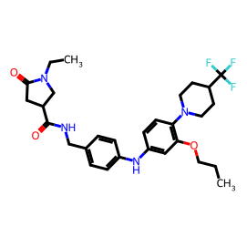 CCCOc1cc(Nc2ccc(CNC(=O)C3CC(=O)N(CC)C3)cc2)ccc1N1CCC(C(F)(F)F)CC1